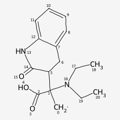 [CH2]C(C(=O)O)(C1Cc2ccccc2NC1=O)N(CC)CC